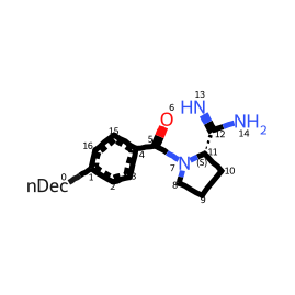 CCCCCCCCCCc1ccc(C(=O)N2CCC[C@H]2C(=N)N)cc1